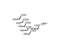 O=C([O-])CO.O=C([O-])CO.O=C([O-])CO.O=C([O-])CO.O=C([O-])CO.O=C([O-])CO.[Ba+2].[Ti+4]